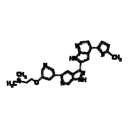 Cc1ccc(-c2ccnc3[nH]c(-c4n[nH]c5cnc(-c6cncc(OCCN(C)C)c6)cc45)cc23)s1